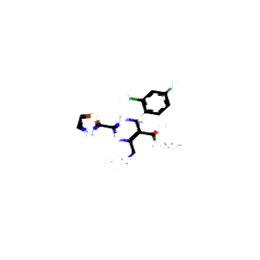 COC(=O)C1=C(CN)NC(c2nccs2)=N[C@H]1c1ccc(F)cc1Cl